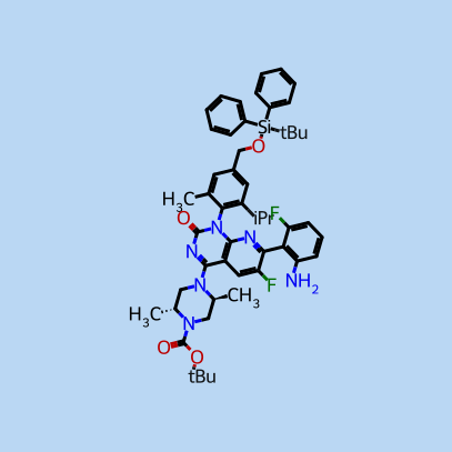 Cc1cc(CO[Si](c2ccccc2)(c2ccccc2)C(C)(C)C)cc(C(C)C)c1-n1c(=O)nc(N2C[C@@H](C)N(C(=O)OC(C)(C)C)C[C@@H]2C)c2cc(F)c(-c3c(N)cccc3F)nc21